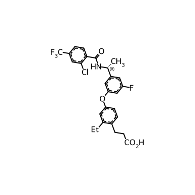 CCc1cc(Oc2cc(F)cc([C@@H](C)NC(=O)c3ccc(C(F)(F)F)cc3Cl)c2)ccc1CCC(=O)O